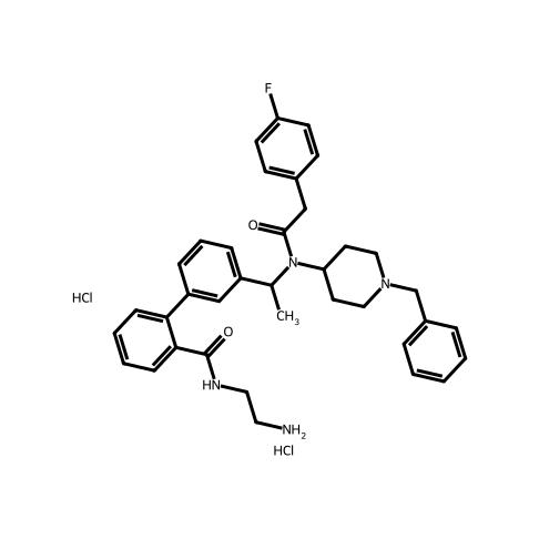 CC(c1cccc(-c2ccccc2C(=O)NCCN)c1)N(C(=O)Cc1ccc(F)cc1)C1CCN(Cc2ccccc2)CC1.Cl.Cl